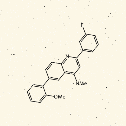 CNc1cc(-c2cccc(F)c2)nc2ccc(-c3ccccc3OC)cc12